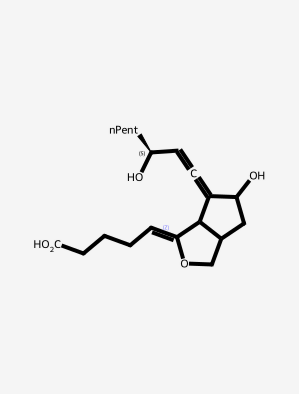 CCCCC[C@H](O)C=C=C1C(O)CC2CO/C(=C\CCCC(=O)O)C12